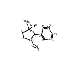 [2H]C1([2H])CCN(C)C1c1cccnc1